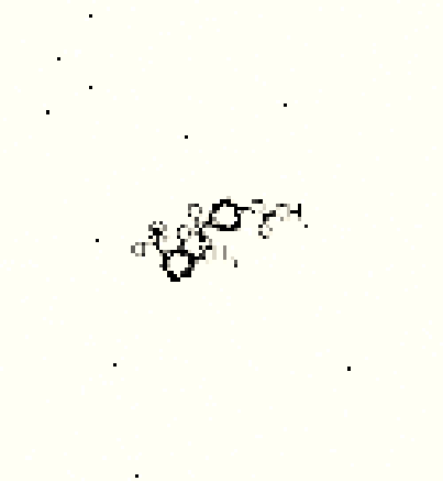 CC(=O)Oc1ccc(S(=O)(=O)Oc2c(C)cccc2[N+](=O)[O-])cc1